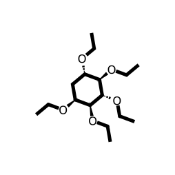 CCO[C@@H]1[C@@H](OCC)[C@@H](OCC)C[C@H](OCC)[C@H]1OCC